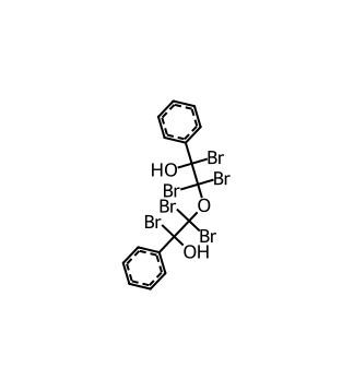 OC(Br)(c1ccccc1)C(Br)(Br)OC(Br)(Br)C(O)(Br)c1ccccc1